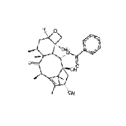 CC(=O)O[C@@]12CO[C@@H]1C[C@H](C)[C@@]1(C)C(=O)[C@H](C)C3=C(C)[C@@H](O)C[C@@](O)([C@@H](OC(=O)c4ccccc4)C12)C3(C)C